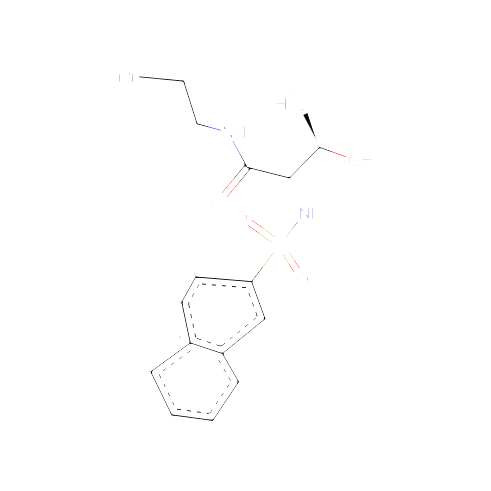 CC(C)CCNC(=O)[C@@H](NS(=O)(=O)c1ccc2ccccc2c1)[C@@H](C)O